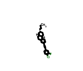 CCCC[C@@H]1CC[C@@H]2c3ccc(C#Cc4ccc(Cl)c(F)c4)cc3CC[C@@H]2C1